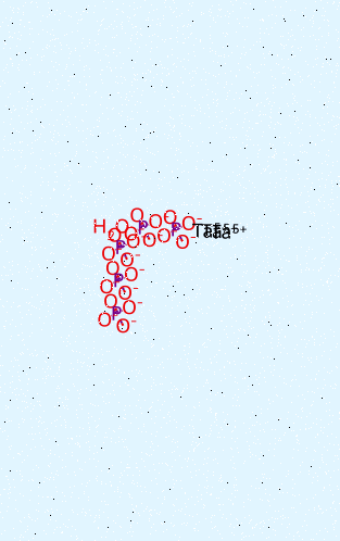 O.O=P([O-])([O-])[O-].O=P([O-])([O-])[O-].O=P([O-])([O-])[O-].O=P([O-])([O-])[O-].O=P([O-])([O-])[O-].[Ta+5].[Ta+5].[Ta+5]